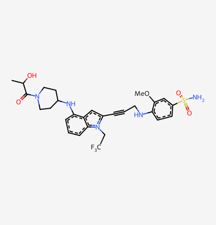 COc1cc(S(N)(=O)=O)ccc1NCC#Cc1cc2c(NC3CCN(C(=O)C(C)O)CC3)cccc2n1CC(F)(F)F